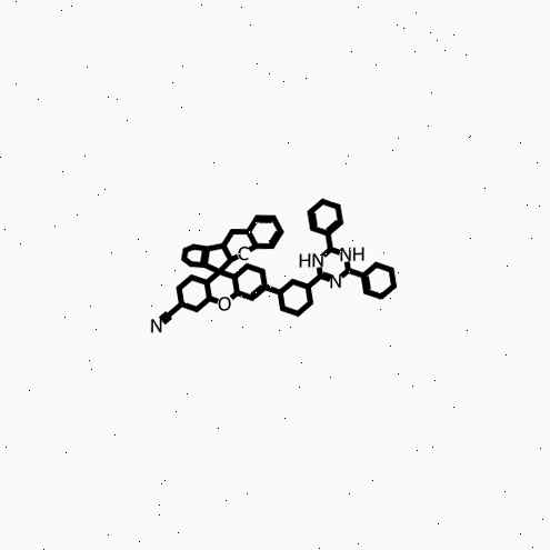 N#CC1CCC2C(C1)OC1C=C(C3CCCC(C4=NC(C5=CCCCC5)NC(C5=CCCC=C5)N4)C3)CCC1C21C2=C(CCCC2)C2CC3C=CC=CC3CC21